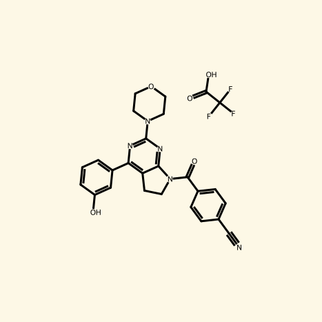 N#Cc1ccc(C(=O)N2CCc3c(-c4cccc(O)c4)nc(N4CCOCC4)nc32)cc1.O=C(O)C(F)(F)F